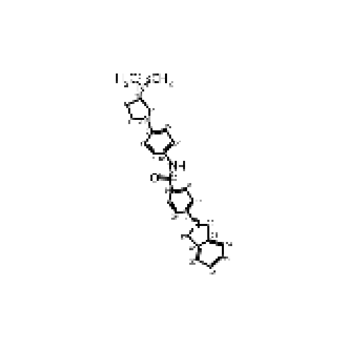 CN(C)C1CCN(c2ccc(NC(=O)c3ccc(N4Cc5ccccc5C4)cc3)cc2)C1